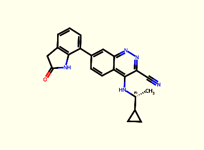 C[C@@H](Nc1c(C#N)nnc2cc(-c3cccc4c3NC(=O)C4)ccc12)C1CC1